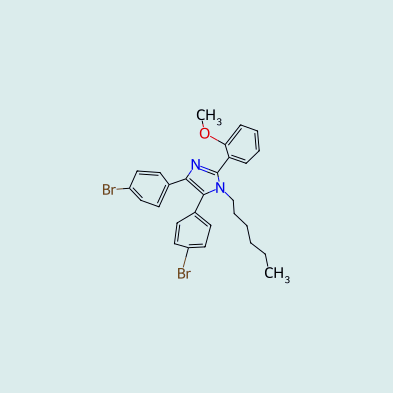 CCCCCCn1c(-c2ccccc2OC)nc(-c2ccc(Br)cc2)c1-c1ccc(Br)cc1